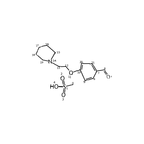 CS(=O)(=O)O.O=Cc1ccc(OCCN2CCCCC2)cc1